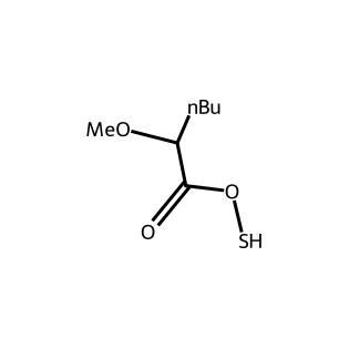 CCCCC(OC)C(=O)OS